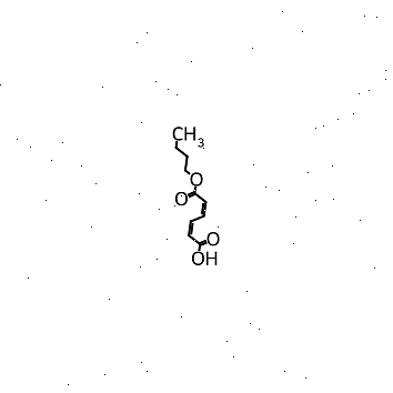 CCCCOC(=O)/C=C\C=C/C(=O)O